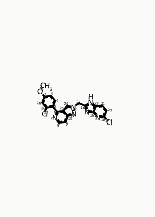 COc1ccc(-c2nccc3nn(Cc4nc5nc(Cl)ccc5[nH]4)cc23)c(Cl)c1